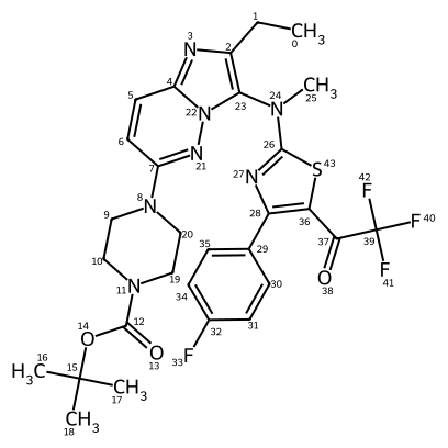 CCc1nc2ccc(N3CCN(C(=O)OC(C)(C)C)CC3)nn2c1N(C)c1nc(-c2ccc(F)cc2)c(C(=O)C(F)(F)F)s1